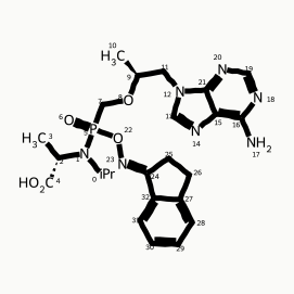 CC(C)N([C@@H](C)C(=O)O)P(=O)(CO[C@@H](C)Cn1cnc2c(N)ncnc21)O/N=C1\CCc2ccccc21